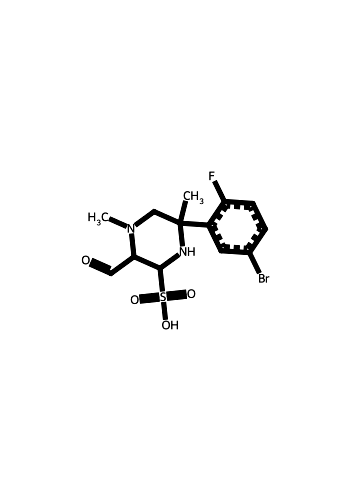 CN1CC(C)(c2cc(Br)ccc2F)NC(S(=O)(=O)O)C1C=O